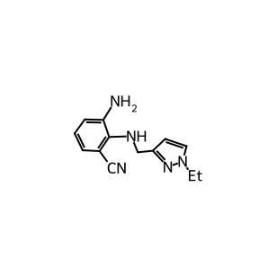 CCn1ccc(CNc2c(N)cccc2C#N)n1